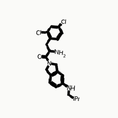 CC(C)CNc1ccc2c(c1)CN(C(=O)C(N)Cc1ccc(Cl)cc1Cl)C2